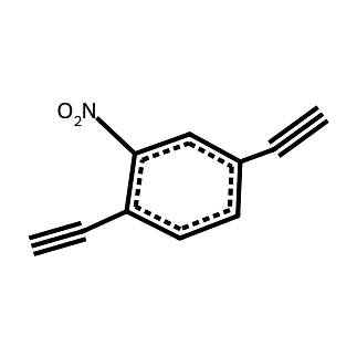 C#Cc1ccc(C#C)c([N+](=O)[O-])c1